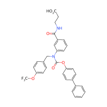 O=C(O)CCNC(=O)c1cccc(N(Cc2ccc(OC(F)(F)F)cc2)C(=O)Oc2ccc(-c3ccccc3)cc2)c1